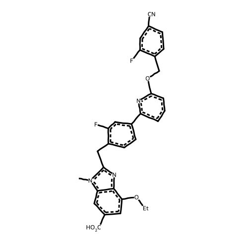 CCOc1cc(C(=O)O)cc2c1nc(Cc1ccc(-c3cccc(OCc4ccc(C#N)cc4F)n3)cc1F)n2C